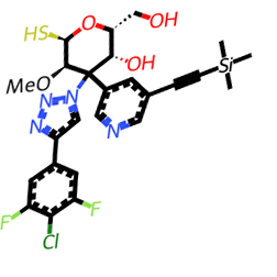 CO[C@H]1[C@@H](S)O[C@H](CO)[C@H](O)C1(c1cncc(C#C[Si](C)(C)C)c1)n1cc(-c2cc(F)c(Cl)c(F)c2)nn1